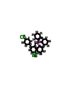 Clc1ccc(-c2ccccc2C[P+](c2ccccc2)(c2ccccc2)c2ccccc2)cc1.[Br-]